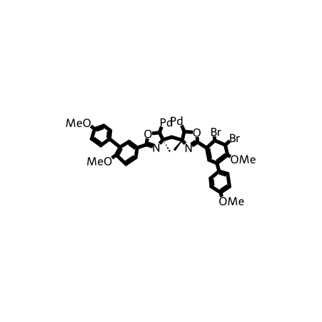 COC1=C(c2ccc(OC)cc2)C=C(C2=N[C@](C)(C[C@@]3(C)N=C(c4ccc(OC)c(-c5ccc(OC)cc5)c4)O[CH]3[Pd])[CH]([Pd])O2)C(Br)C1Br